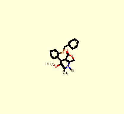 CCOC(=O)OC1=C(C)N(CC)C2=C(C(=O)OC2)C1c1ccccc1SCc1ccccc1